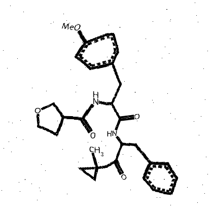 COc1ccc(CC(NC(=O)C2CCOC2)C(=O)NC(Cc2ccccc2)C(=O)C2(C)CC2)cc1